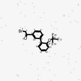 O=C(CBr)c1cccc(-c2ccccc2OC(F)(F)F)c1